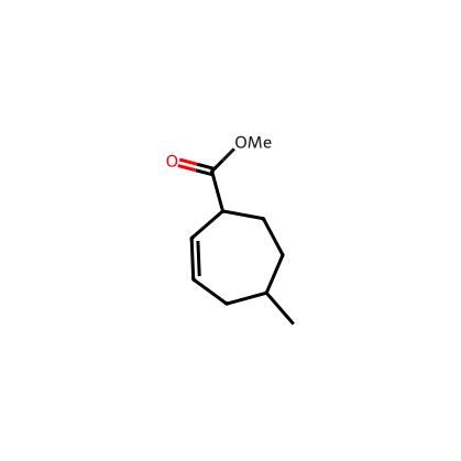 COC(=O)C1C=CCC(C)CC1